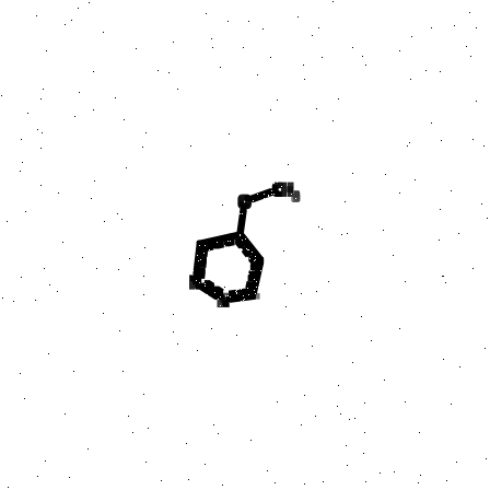 COc1c[c]nnc1